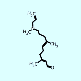 C=CCN(C)CCCC(C)=CCCC(C)=CC=O